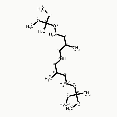 COC(C)(OC)O[SiH2]CC(C)CNCC(C)C[SiH2]OC(C)(OC)OC